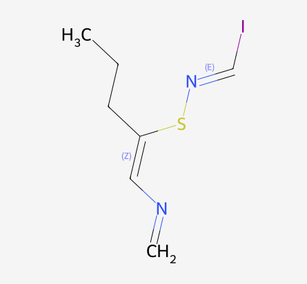 C=N/C=C(/CCC)S/N=C/I